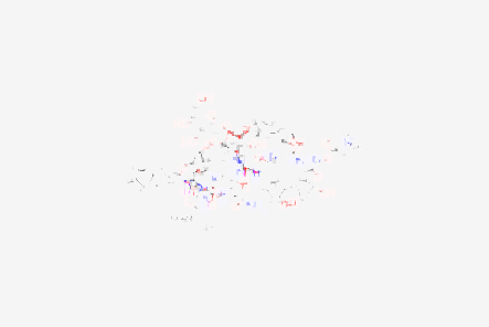 CN[C@H](CC(C)C)C(=O)N[C@H]1C(=O)N[C@@H](CC(N)=O)C(=O)N[C@H]2C(=O)N[C@H]3C(=O)N[C@H](C(=O)N[C@@H](C(=O)NOC(=O)C[N+](C)(C)C)c4cc(O)cc(O)c4-c4cc3ccc4O)[C@H](O)c3ccc(c(Cl)c3)Oc3cc2cc(c3O[C@@H]2O[C@H](CO)[C@@H](O)[C@H](O)[C@H]2O[C@H]2C[C@](C)(NCCn3ccc(NC(=O)/C=C/c4ccc(Cl)cc4)nc3=O)[C@H](O)[C@H](C)O2)Oc2ccc(cc2Cl)[C@H]1O